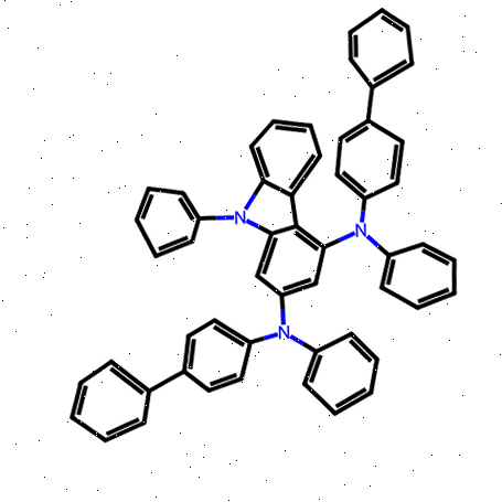 c1ccc(-c2ccc(N(c3ccccc3)c3cc(N(c4ccccc4)c4ccc(-c5ccccc5)cc4)c4c5ccccc5n(-c5ccccc5)c4c3)cc2)cc1